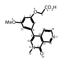 COc1cc(OCC(=O)O)cc(-c2cn(C)c(=O)c3cnccc23)c1